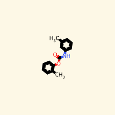 Cc1cccc(NC(=O)Oc2ccc[c]c2C)c1